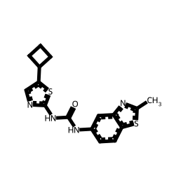 Cc1nc2cc(NC(=O)Nc3ncc(C4CCC4)s3)ccc2s1